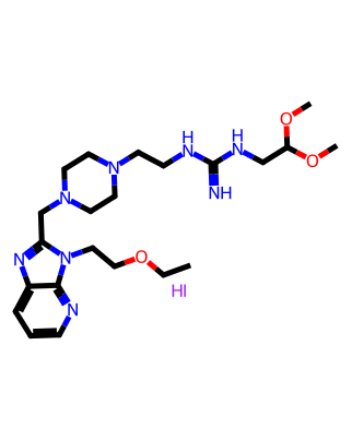 CCOCCn1c(CN2CCN(CCNC(=N)NCC(OC)OC)CC2)nc2cccnc21.I